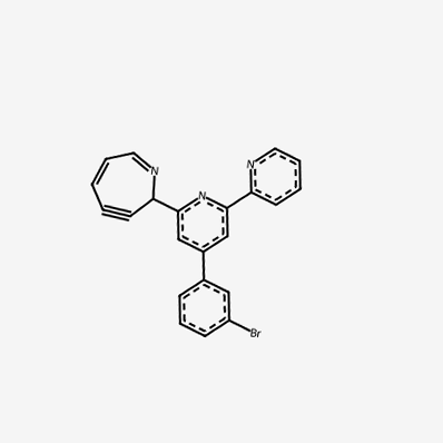 Brc1cccc(-c2cc(-c3ccccn3)nc(C3C#CC=CC=N3)c2)c1